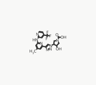 Cc1cc(Nc2cc(C(F)(F)F)ccn2)nc(-c2cn(C3CN(C(=O)O)CC3O)nn2)c1